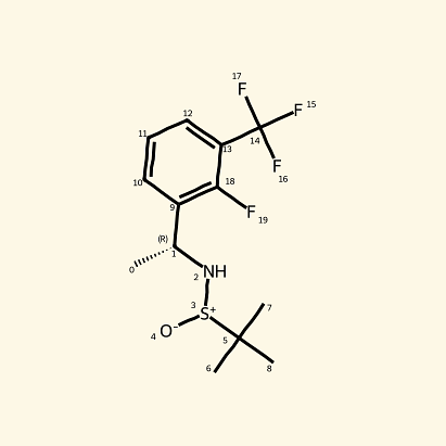 C[C@@H](N[S+]([O-])C(C)(C)C)c1cccc(C(F)(F)F)c1F